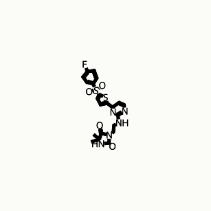 CC1(C)NC(=O)N(CCNc2nccc(-c3ccc(S(=O)(=O)c4ccc(F)cc4)s3)n2)C1=O